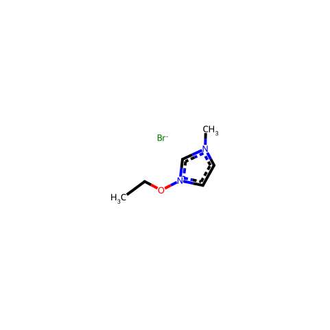 CCO[n+]1ccn(C)c1.[Br-]